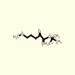 COCCCC(=O)C(=O)OC(C)(C)C